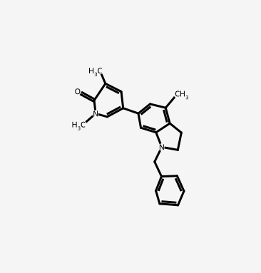 Cc1cc(-c2cc(C)c(=O)n(C)c2)cc2c1CCN2Cc1ccccc1